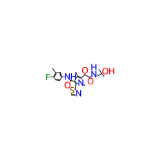 Cc1cc(NC(=O)c2c(C)c(C(=O)C(=O)NCC(C)(C)O)n(C)c2-c2nccs2)ccc1F